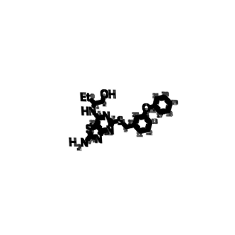 CCC(CO)Nc1nc(SCc2cccc(Oc3ccccc3)c2)nc2nc(N)sc12